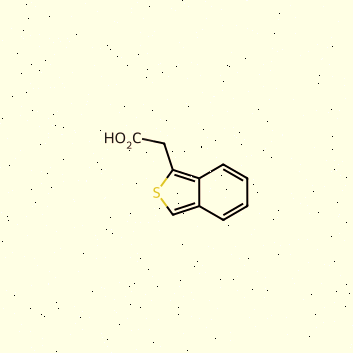 O=C(O)Cc1scc2ccccc12